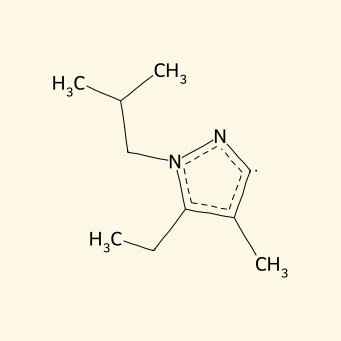 CCc1c(C)[c]nn1CC(C)C